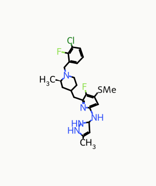 CSc1cc(NC2C=C(C)NN2)nc(CC2CCN(Cc3cccc(Cl)c3F)[C@H](C)C2)c1F